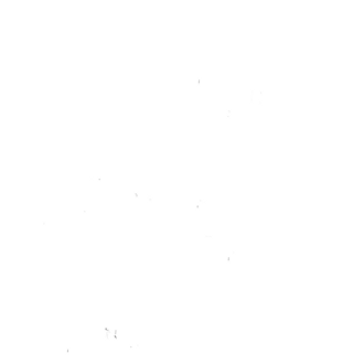 COC(=O)c1cc([N+](=O)[O-])cc(C(=O)OC)c1OCCCC(=O)OC(C)(C)C